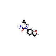 NC(=O)N(CC1CC1)c1ccc2c(c1)OCC2